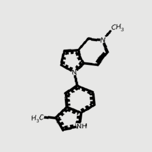 Cc1c[nH]c2ccc(-n3ccc4c3C=CN(C)C4)cc12